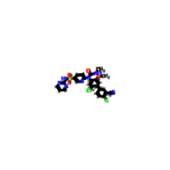 CNC(=O)N(c1ccc(S(=O)(=O)Nc2ncccn2)cn1)c1cc(Cl)c(-c2ccc(Cl)c(C#N)c2)cc1OC